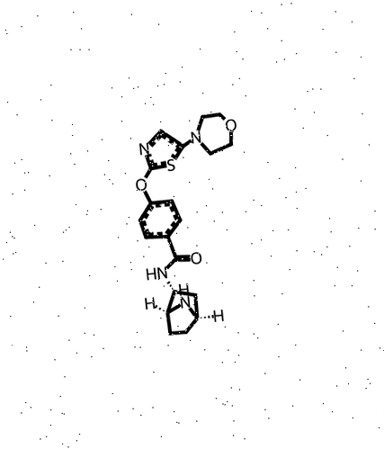 O=C(N[C@@H]1C[C@H]2CC[C@@H]1N2)c1ccc(Oc2ncc(N3CCOCC3)s2)cc1